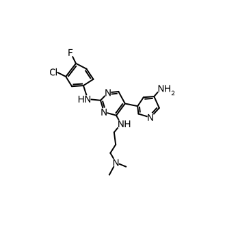 CN(C)CCCNc1nc(Nc2ccc(F)c(Cl)c2)ncc1-c1cncc(N)c1